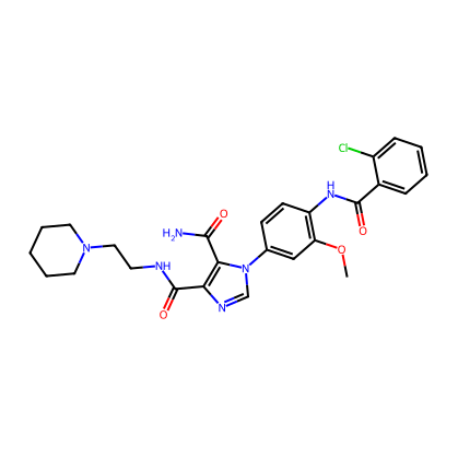 COc1cc(-n2cnc(C(=O)NCCN3CCCCC3)c2C(N)=O)ccc1NC(=O)c1ccccc1Cl